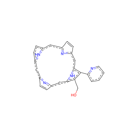 OCc1c(-c2ccccn2)c2cc3nc(cc4ccc(cc5nc(cc1[nH]2)C=C5)[nH]4)C=C3